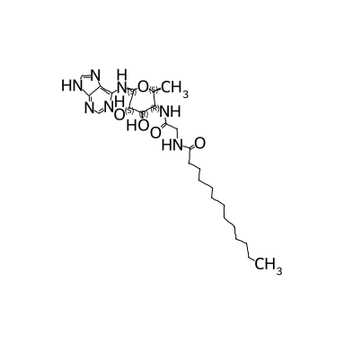 CCCCCCCCCCCCC(=O)NCC(=O)N[C@@H]1[C@@H](O)[C@H](O)[C@@H](Nc2ncnc3[nH]cnc23)O[C@H]1C